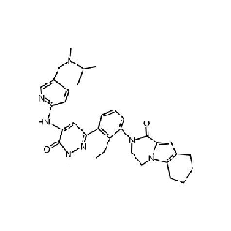 CCc1c(-c2cc(Nc3ccc(CN(C)C(C)C)cn3)c(=O)n(C)n2)cccc1N1CCn2c(cc3c2CCCC3)C1=O